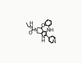 CCNC(=O)N1CC(=O)c2c([nH]c(-c3ccncc3)c2Nc2ccccc2)C1